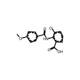 COc1ccc(C(=O)Nc2c(Cl)cccc2C(=O)O)cc1